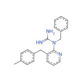 Cc1ccc(Cc2cccnc2N(Cc2ccccc2)C(=N)N)cc1